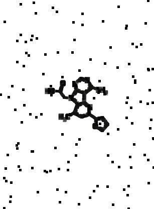 Cc1cc(-c2ccco2)nc2c3c(N)ncnc3n(CC(=O)O)c12